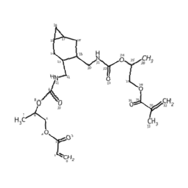 C=CC(=O)OCC(C)OC(=O)NCC1CC2CC2CC1CNC(=O)OC(C)COC(=O)C(=C)C